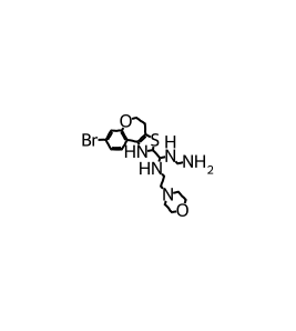 NCNC(NCCN1CCOCC1)C1NC2=C(CCOc3cc(Br)ccc32)S1